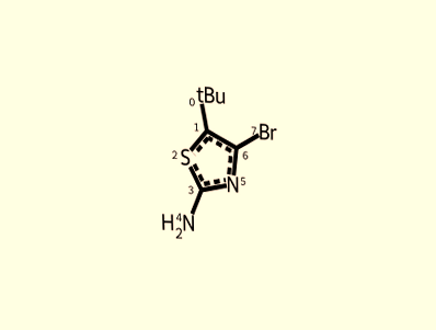 CC(C)(C)c1sc(N)nc1Br